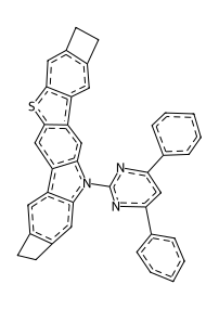 c1ccc(-c2cc(-c3ccccc3)nc(-n3c4cc5c(cc4c4cc6sc7cc8c(cc7c6cc43)CC8)CC5)n2)cc1